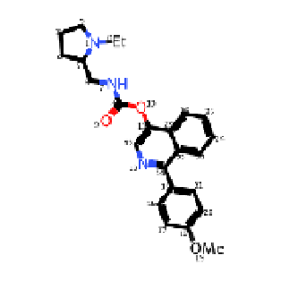 CCN1CCCC1CNC(=O)Oc1cnc(-c2ccc(OC)cc2)c2ccccc12